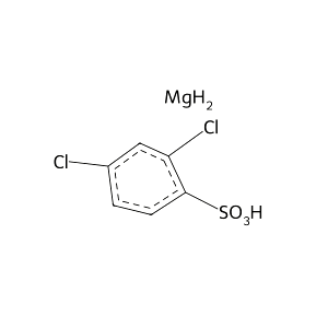 O=S(=O)(O)c1ccc(Cl)cc1Cl.[MgH2]